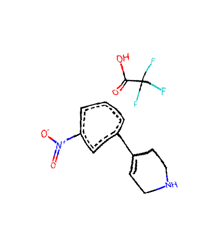 O=C(O)C(F)(F)F.O=[N+]([O-])c1cccc(C2=CCNCC2)c1